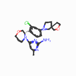 Cc1cc(N2CCCOC[C@@H]2c2ccc(N3CCC4(CCOC4)C3)cc2Cl)nc(N)n1